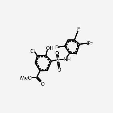 COC(=O)c1cc(Cl)c(O)c(S(=O)(=O)Nc2cc(C(C)C)c(F)cc2F)c1